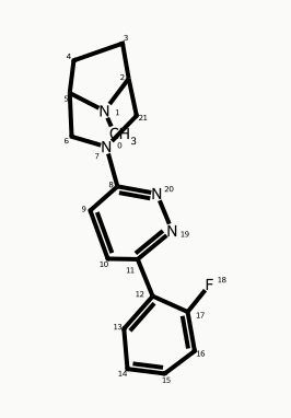 CN1C2CCC1CN(c1ccc(-c3ccccc3F)nn1)C2